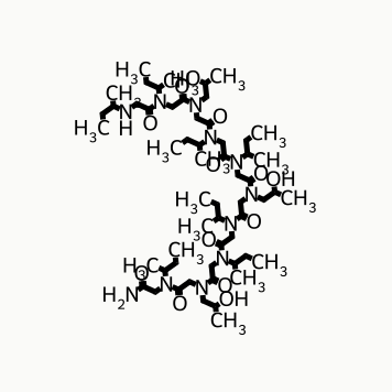 CCC(C)NCC(=O)N(CC(=O)N(CC(=O)N(CC(=O)N(CC(=O)N(CC(=O)N(CC(=O)N(CC(=O)N(CC(=O)N(CC(N)=O)C(C)CC)CC(C)O)C(C)CC)C(C)CC)CC(C)O)C(C)CC)C(C)CC)CC(C)O)C(C)CC